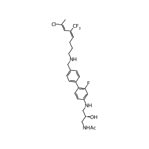 CC(=O)NC[C@H](O)CNc1ccc(-c2ccc(CNCCCC=C(/C=C(\C)Cl)C(F)(F)F)cc2)c(F)c1